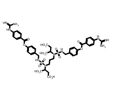 N=C(N)Nc1ccc(C(=O)Oc2ccc(CNS(=O)(=O)N(CCCN(C(CC(=O)O)C(=O)O)S(=O)(=O)NCc3ccc(OC(=O)c4ccc(NC(=N)N)cc4)cc3)C(CC(=O)O)C(=O)O)cc2)cc1